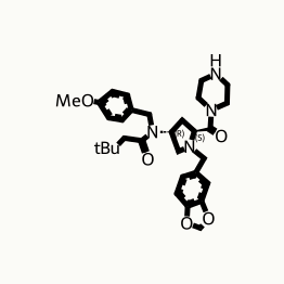 COc1ccc(CN(C(=O)CC(C)(C)C)[C@@H]2C[C@@H](C(=O)N3CCNCC3)N(Cc3ccc4c(c3)OCO4)C2)cc1